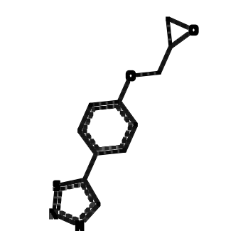 c1cc(-c2cnns2)ccc1OCC1CO1